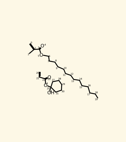 C=C(C)C(=O)OCCCCCCCCCCCCCC.C=CC(=O)OC1(O)CCCCC1